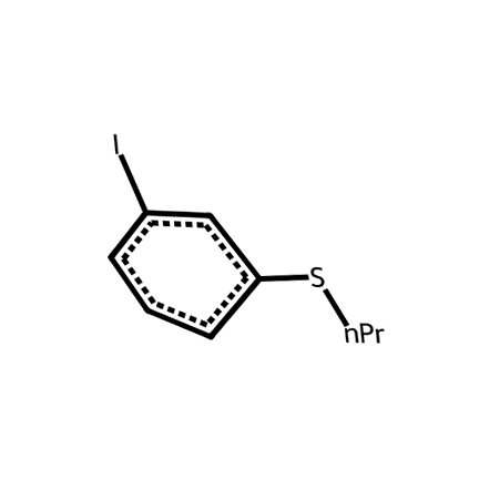 CCCSc1cccc(I)c1